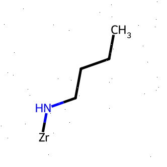 CCCC[NH][Zr]